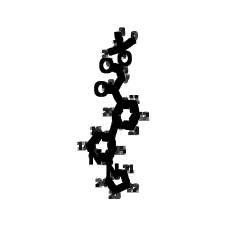 CC(C)(C)OC(=O)CC(=O)c1cccc(-c2ccnc(N3CCCC3)c2)c1